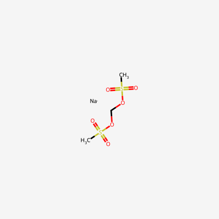 CS(=O)(=O)OCOS(C)(=O)=O.[Na]